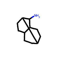 NC1C2CCC3CCC2CCC31